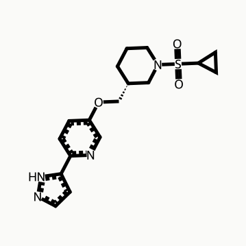 O=S(=O)(C1CC1)N1CCC[C@@H](COc2ccc(-c3ccn[nH]3)nc2)C1